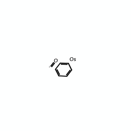 [C]=O.[Os].c1ccccc1